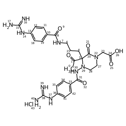 CC(=O)C1(CCCNC(=O)c2ccc(NC(=N)N)cc2)C(=O)N(CC(=O)O)CCN1NC(=O)c1ccc(NC(=N)N)cc1.Cl